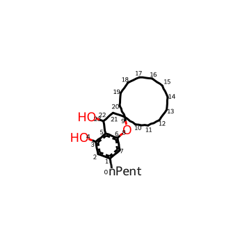 CCCCCc1cc(O)c2c(c1)OC1(CCCCCCCCCCC1)CC2O